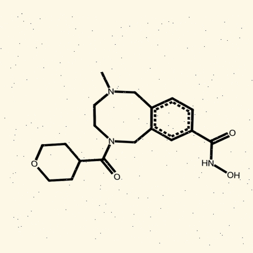 CN1CCN(C(=O)C2CCOCC2)Cc2cc(C(=O)NO)ccc2C1